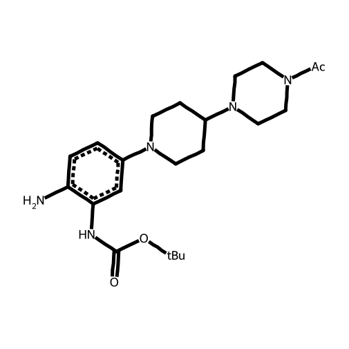 CC(=O)N1CCN(C2CCN(c3ccc(N)c(NC(=O)OC(C)(C)C)c3)CC2)CC1